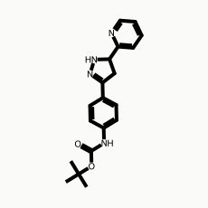 CC(C)(C)OC(=O)Nc1ccc(C2=NNC(c3ccccn3)C2)cc1